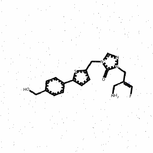 NC/C(=C\F)Cn1ncn(Cc2ccc(-c3ccc(CO)cc3)s2)c1=O